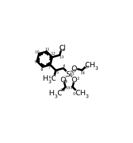 CCO[Si](CC(C)c1ccccc1CCl)(OCC)OCC